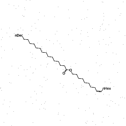 CCCCCC/C=C\CCCCCCCCOC(=O)CCCCCCCCCCCCCCCCCCCCCCCC